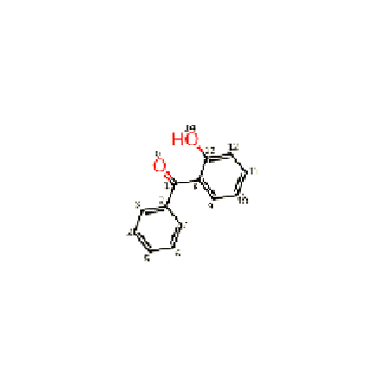 O=C(c1ccccc1)c1c[c]ccc1O